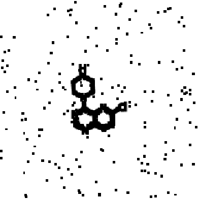 Clc1ccc2ncnc(N3CCNCC3)c2n1